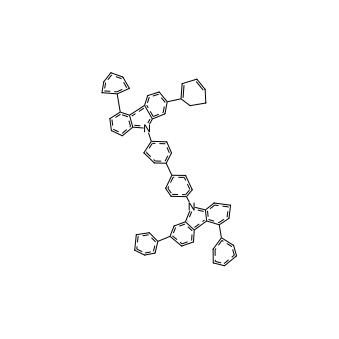 C1=CCCC(c2ccc3c4c(-c5ccccc5)cccc4n(-c4ccc(-c5ccc(-n6c7cc(-c8ccccc8)ccc7c7c(-c8ccccc8)cccc76)cc5)cc4)c3c2)=C1